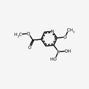 COC(=O)c1cnc(OC)c(B(O)O)c1